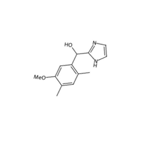 COc1cc(C(O)c2ncc[nH]2)c(C)cc1C